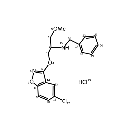 COCC(COc1noc2ccc(Cl)cc12)NCc1ccccc1.Cl